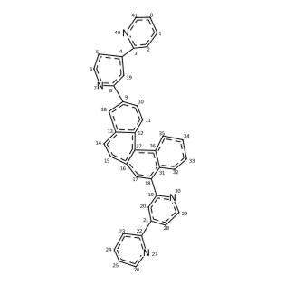 c1ccc(-c2ccnc(-c3ccc4c(ccc5cc(-c6cc(-c7ccccn7)ccn6)c6ccccc6c54)c3)c2)nc1